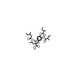 CCC(C)CC(=O)OC(C)C[C@@](N)(Cc1ccc(OC(=O)C(C)CC)c(OC(=O)C(C)CC)c1)C(=O)OC